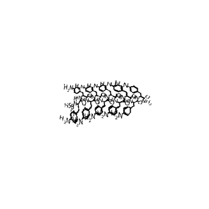 NC(=O)C(Cc1ccc(N)cc1)NC(=O)C(Cc1ccc(N)cc1)NC(=O)C(Cc1ccc(N)cc1)NC(=O)C(Cc1ccc(N)cc1)NC(=O)C(Cc1ccc(N)cc1)NC(=O)C(Cc1ccc(N)cc1)NC(=O)C(Cc1ccc(N)cc1)NC(=O)C(Cc1ccc(N)cc1)NC(=O)C(Cc1ccc(N)cc1)NC(=O)C(Cc1ccc(N)cc1)NBS